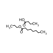 CCCC(=O)O.CCCCCCCC(=O)OCCC